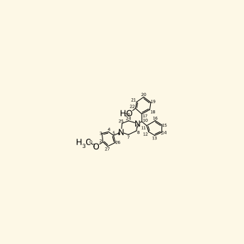 COc1ccc(N2CCN(C(c3cc[c]cc3)c3ccccc3O)CC2)cc1